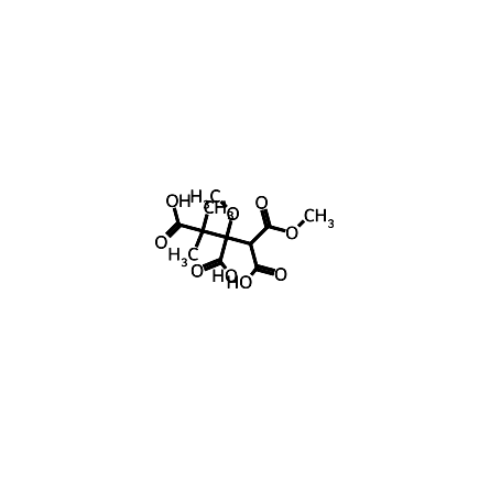 COC(=O)C(C(=O)O)C(OC)(C(=O)O)C(C)(C)C(=O)O